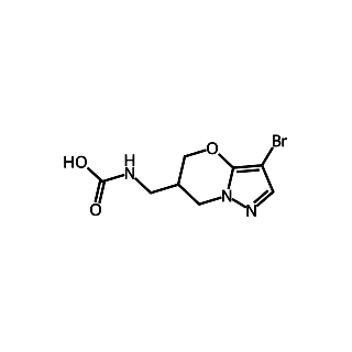 O=C(O)NCC1COc2c(Br)cnn2C1